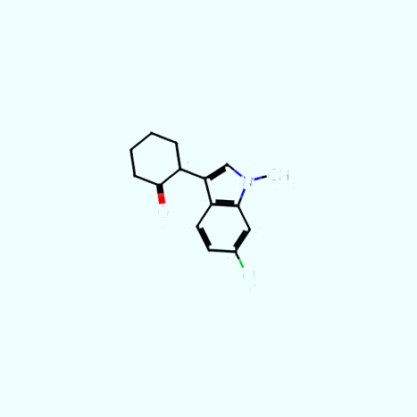 Cn1cc(C2CCCCC2=O)c2ccc(Cl)cc21